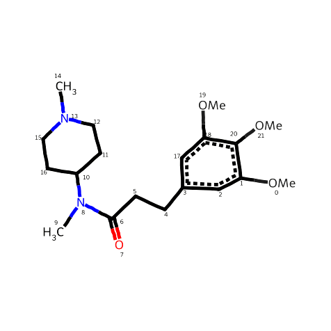 COc1cc(CCC(=O)N(C)C2CCN(C)CC2)cc(OC)c1OC